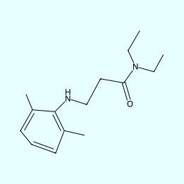 CCN(CC)C(=O)CCNc1c(C)cccc1C